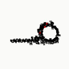 COCCOCCOCCOCCNC(=S)O[C@@H]1CCC(C[C@@H](N)[C@@H]2CC(=O)[C@H](C)/C=C(\C)[C@@H](O)[C@@H](O)C(=O)[C@H](C)C[C@H](C)/C=C/C=C/C=C(\C)[C@@H](OC)C[C@@H]3CC[C@@H](C)[C@@](O)(O3)C(=O)C(=O)N3CCCC[C@H]3C(=O)O2)C[C@H]1OC